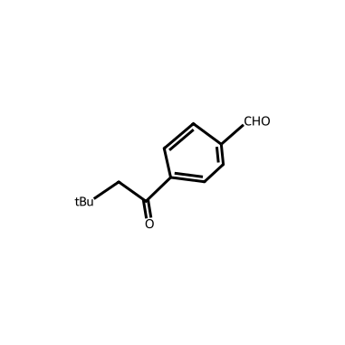 CC(C)(C)CC(=O)c1ccc(C=O)cc1